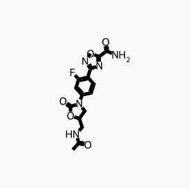 CC(=O)NCC1CN(c2ccc(-c3noc(C(N)=O)n3)c(F)c2)C(=O)O1